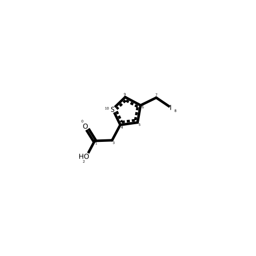 O=C(O)Cc1cc(CI)cs1